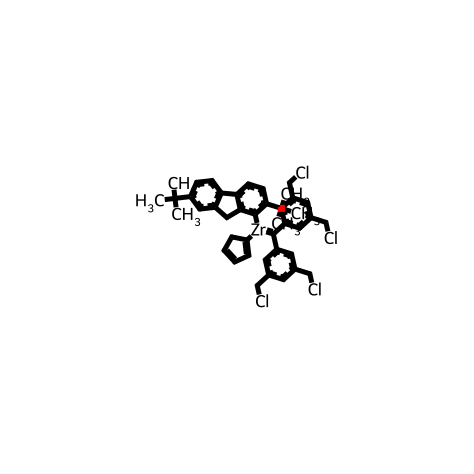 CC(C)(C)c1ccc2c(c1)Cc1c-2ccc(C(C)(C)C)[c]1[Zr]([C]1=CC=CC1)=[C](c1cc(CCl)cc(CCl)c1)c1cc(CCl)cc(CCl)c1